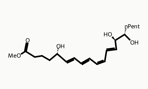 CCCCC[C@H](O)[C@H](O)/C=C/C=C\C=C\C=C\[C@@H](O)CCCC(=O)OC